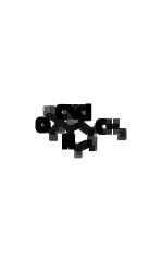 Cc1ccnc(C2(C#N)COC2)c1Cl